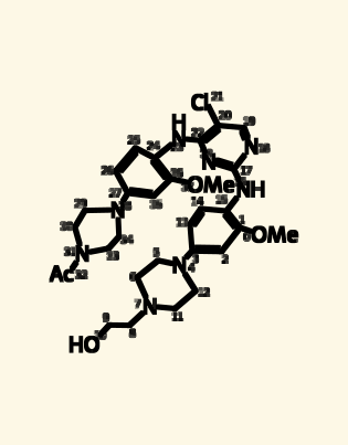 COc1cc(N2CCN(CCO)CC2)ccc1Nc1ncc(Cl)c(Nc2ccc(N3CCN(C(C)=O)CC3)cc2OC)n1